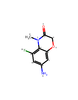 CN1C(=O)COc2cc(N)cc(F)c21